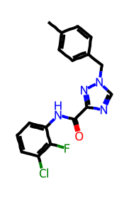 Cc1ccc(Cn2cnc(C(=O)Nc3cccc(Cl)c3F)n2)cc1